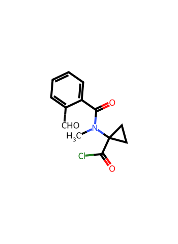 CN(C(=O)c1ccccc1C=O)C1(C(=O)Cl)CC1